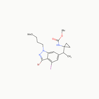 COCCCn1nc(Br)c2c(I)cc(C(C)C3(NC(=O)OC(C)(C)C)CC3)cc21